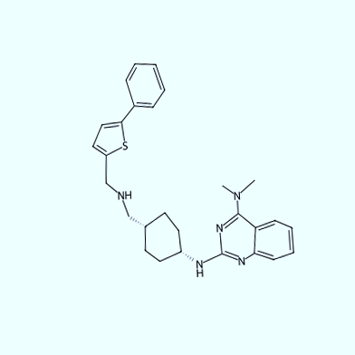 CN(C)c1nc(N[C@H]2CC[C@@H](CNCc3ccc(-c4ccccc4)s3)CC2)nc2ccccc12